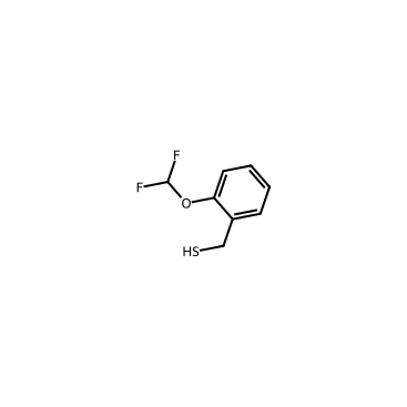 FC(F)Oc1ccccc1CS